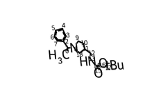 CC(c1ccccc1)N1CCC(CNC(=O)OC(C)(C)C)C1